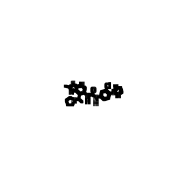 Cc1nc2c(C(C)N3CCCC3)c(NC(=O)Nc3ccc(-n4nccn4)c(Cl)c3)cnc2s1